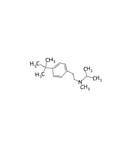 CC(C)N(C)CCc1ccc(C(C)(C)C)cc1